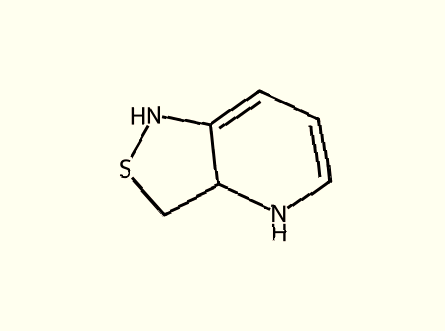 C1=CNC2CSNC2=C1